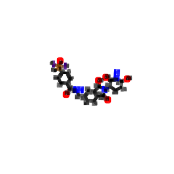 CS(=O)(I)(I)c1ccc(C(=O)NCc2ccc3c(c2)C(=O)N(C2CCC(=O)NC2=O)C3=O)cc1